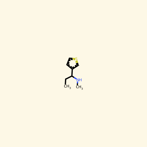 CCC(NC)c1[c]scc1